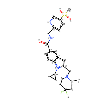 CCC1CC(F)(F)CCN1Cc1cc2cc(C(=O)NCc3ccc(S(=O)(=O)CC)cn3)ccc2n1C1CC1